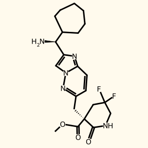 COC(=O)[C@@]1(Cc2ccc3nc([C@@H](N)C4CCCCCC4)cn3n2)CC(F)(F)CNC1=O